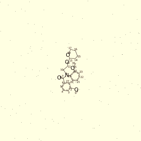 COc1cccc(C(=O)N(CCOC2CCCCO2)c2ccccc2OC)c1